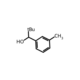 Cc1cccc(C(O)C(C)(C)C)c1